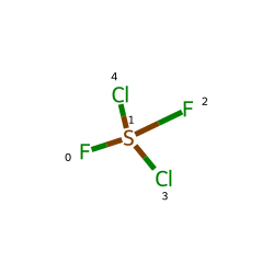 FS(F)(Cl)Cl